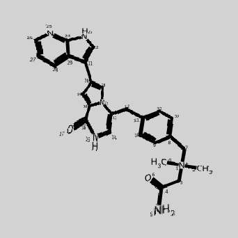 C[N+](C)(CC(N)=O)Cc1ccc(Cc2c[nH]c(=O)c3cc(-c4c[nH]c5ncccc45)cn23)cc1